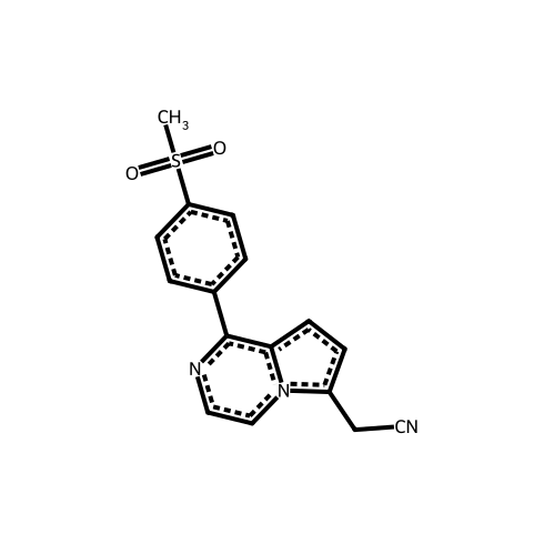 CS(=O)(=O)c1ccc(-c2nccn3c(CC#N)ccc23)cc1